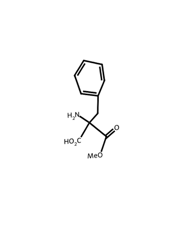 COC(=O)C(N)(Cc1ccccc1)C(=O)O